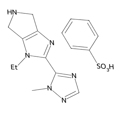 CCn1c(-c2ncnn2C)nc2c1CNC2.O=S(=O)(O)c1ccccc1